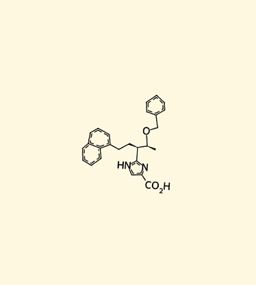 C[C@H](OCc1ccccc1)[C@H](CCc1cccc2ccccc12)c1nc(C(=O)O)c[nH]1